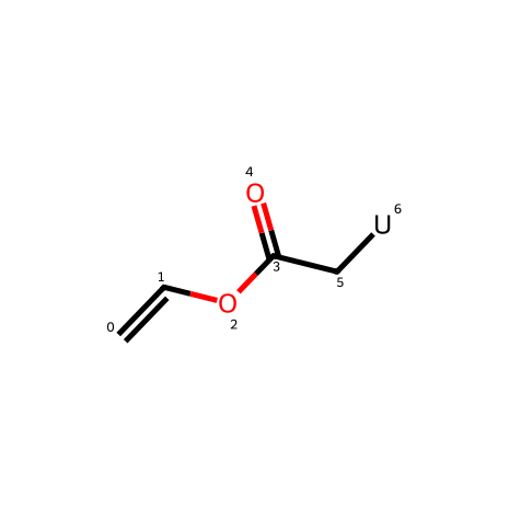 C=COC(=O)[CH2][U]